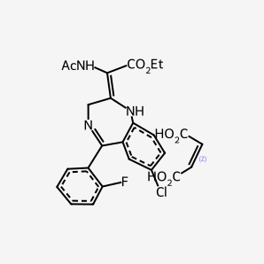 CCOC(=O)C(NC(C)=O)=C1CN=C(c2ccccc2F)c2cc(Cl)ccc2N1.O=C(O)/C=C\C(=O)O